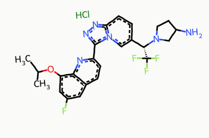 CC(C)Oc1cc(F)cc2ccc(-c3nnc4ccc([C@H](N5CCC(N)C5)C(F)(F)F)cn34)nc12.Cl